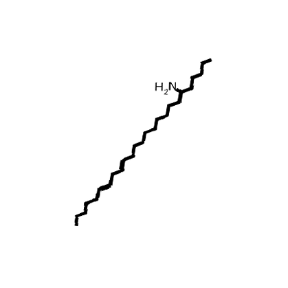 CCCCC/C=C/C/C=C/CCCCCCCCCC(N)CCCCC